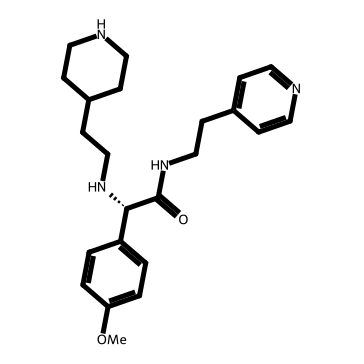 COc1ccc([C@H](NCCC2CCNCC2)C(=O)NCCc2ccncc2)cc1